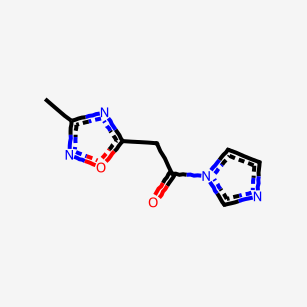 Cc1noc(CC(=O)n2ccnc2)n1